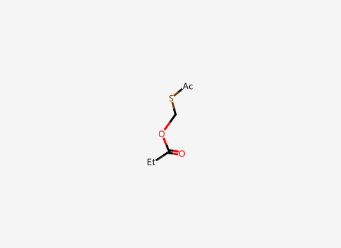 CCC(=O)OCSC(C)=O